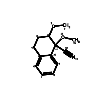 COC1CCc2ccccc2C1(C#N)OC